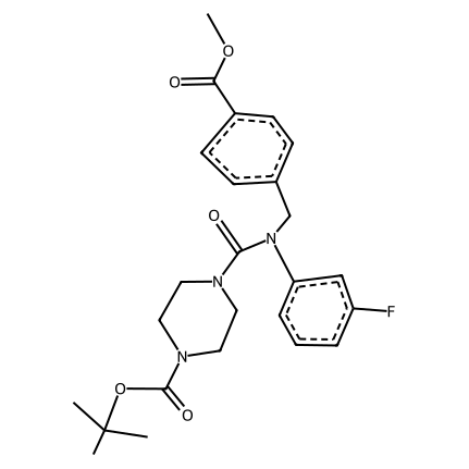 COC(=O)c1ccc(CN(C(=O)N2CCN(C(=O)OC(C)(C)C)CC2)c2cccc(F)c2)cc1